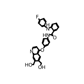 O=C(Nc1ccc(Oc2ccnc3cc(CO)c(CO)cc23)cc1)c1ccccc1Nc1ccc(F)cc1